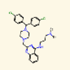 CCN(CC)CCCNc1nc(CN2CCN(C(c3ccc(Cl)cc3)c3ccc(Cl)cc3)CC2)nc2ccccc12